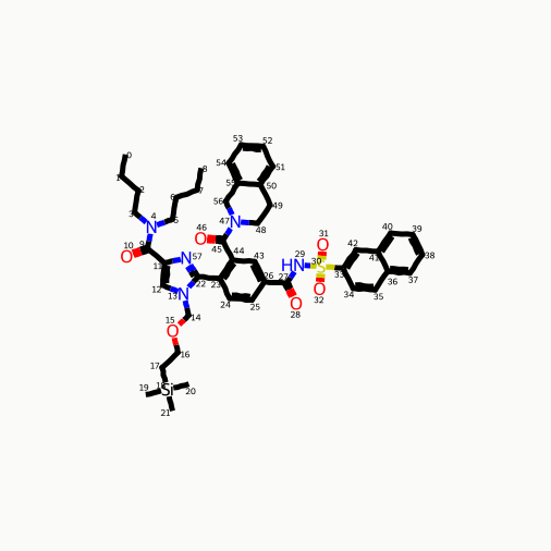 CCCCN(CCCC)C(=O)c1cn(COCC[Si](C)(C)C)c(-c2ccc(C(=O)NS(=O)(=O)c3ccc4ccccc4c3)cc2C(=O)N2CCc3ccccc3C2)n1